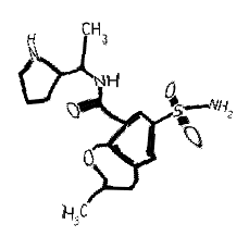 CC1Cc2cc(S(N)(=O)=O)cc(C(=O)NC(C)C3CCCN3)c2O1